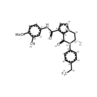 COc1ccc(NC(=O)c2cnn3c2C(=O)N(c2ccc(CC(F)(F)F)cc2)[C@@H](C)C3)cc1C#N